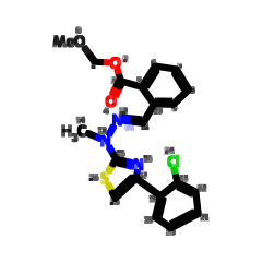 COCOC(=O)c1ccccc1/C=N/N(C)c1nc(-c2ccccc2Cl)cs1